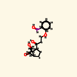 CC1(C)C2CCC1(C(=O)CCOc1ccccc1P=O)C(=O)C2=O